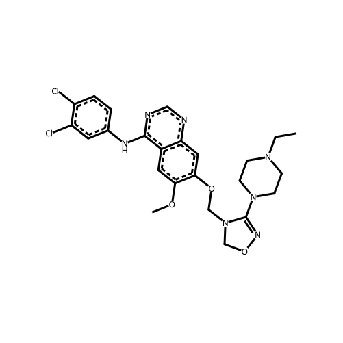 CCN1CCN(C2=NOCN2COc2cc3ncnc(Nc4ccc(Cl)c(Cl)c4)c3cc2OC)CC1